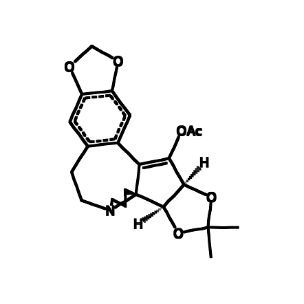 CC(=O)OC1=C2c3cc4c(cc3CCN3CCC[C@]23[C@@H]2OC(C)(C)O[C@H]12)OCO4